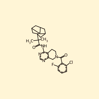 CC(C)(C(=O)Nc1ncnc2c1CCN(C(=O)c1c(F)cccc1Cl)C2)C12CC3CC(CC(C3)C1)C2